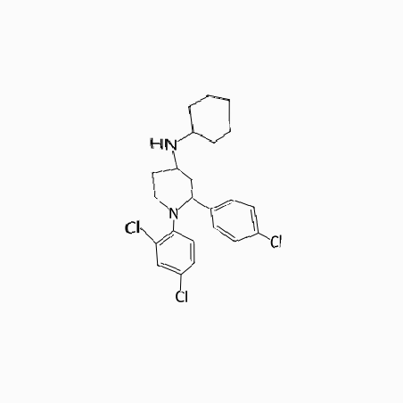 Clc1ccc(C2CC(NC3CCCCC3)CCN2c2ccc(Cl)cc2Cl)cc1